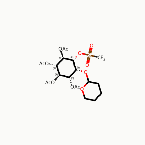 CC(=O)O[C@H]1[C@H](OC(C)=O)[C@@H](OC(C)=O)[C@H](OS(=O)(=O)C(F)(F)F)[C@H](OC2CCCCO2)[C@@H]1OC(C)=O